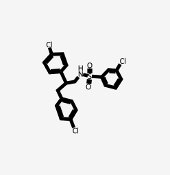 O=S(=O)(NCC(Cc1ccc(Cl)cc1)c1ccc(Cl)cc1)c1cccc(Cl)c1